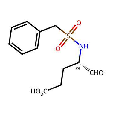 O=[C][C@H](CCC(=O)O)NS(=O)(=O)Cc1ccccc1